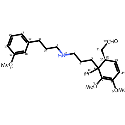 COC1=C(OC)C(CCCNCCCc2cccc(OC)c2)(C(C)C)[C@@H](CC=O)C=C1